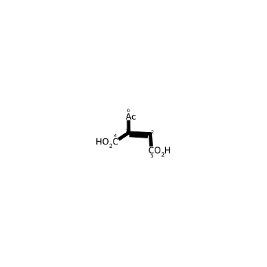 CC(=O)C(=CC(=O)O)C(=O)O